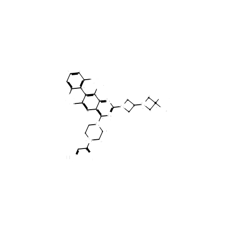 C=CC(=O)N1CCN(c2nc(N3CC(N4CC(C)(F)C4)C3)nc3c(F)c(-c4c(O)cccc4F)c(Cl)cc23)CC1